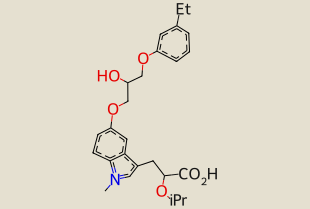 CCc1cccc(OCC(O)COc2ccc3c(c2)c(CC(OC(C)C)C(=O)O)cn3C)c1